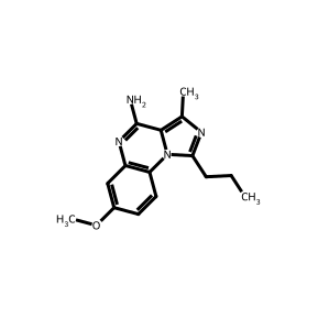 CCCc1nc(C)c2c(N)nc3cc(OC)ccc3n12